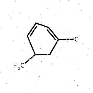 CC1C=CC=C(Cl)C1